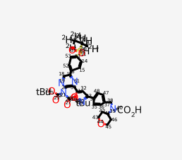 [2H]C([2H])([2H])C([2H])(C([2H])([2H])[2H])S(=O)(=O)c1ccc(-c2cnc(N(C(=O)OC(C)(C)C)C(=O)OC(C)(C)C)c(-c3cc(-c4ccc(CN(C(=O)O)C5CCOCC5)cc4)no3)n2)cc1